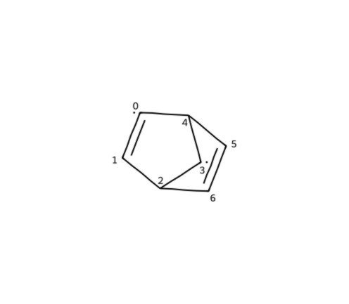 [C]1=CC2[CH]C1C=C2